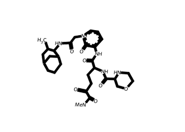 CNC(=O)C(=O)CCC(NC(=O)C1COCCN1)C(=O)Nc1cccn(CC(=O)NC2C(C)CC3CCCC2C3)c1=O